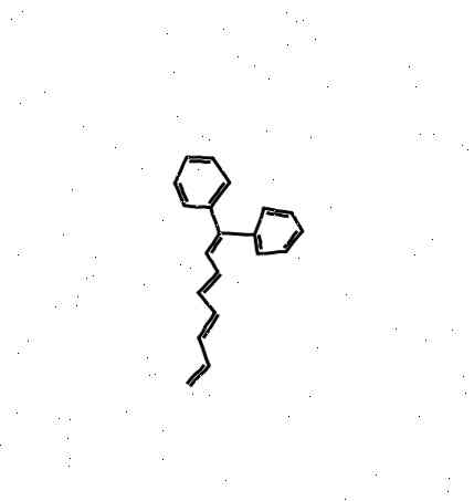 C=CC=CC=CC=C(c1ccccc1)c1ccccc1